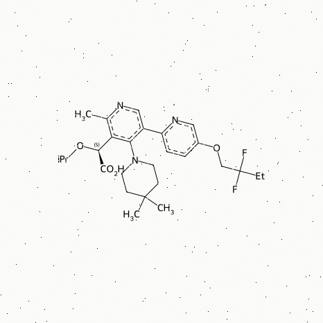 CCC(F)(F)COc1ccc(-c2cnc(C)c([C@H](OC(C)C)C(=O)O)c2N2CCC(C)(C)CC2)nc1